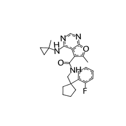 Cc1oc2ncnc(NC3(C)CC3)c2c1C(=O)NCC1(c2ccccc2F)CCCC1